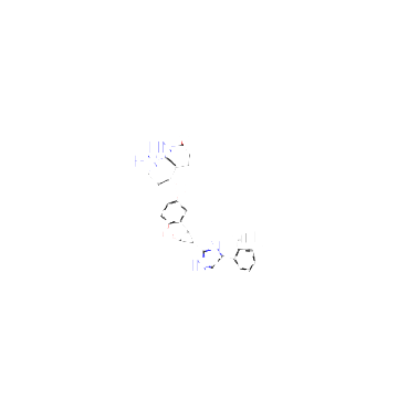 O=C1CCC2=C(NCC=C2Oc2ccc3c(c2)C2C(O3)C2c2nc(-c3ccccc3[SiH3])c[nH]2)N1